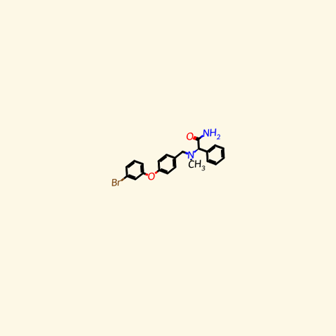 CN(Cc1ccc(Oc2cccc(Br)c2)cc1)[C@@H](C(N)=O)c1ccccc1